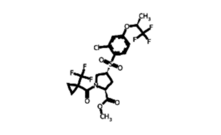 COC(=O)[C@@H]1C[C@@H](S(=O)(=O)c2ccc(O[C@@H](C)C(F)(F)F)cc2Cl)CN1C(=O)C1(C(F)(F)F)CC1